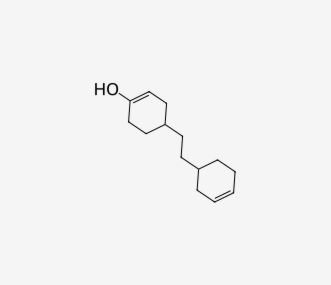 OC1=CCC(CCC2CC=CCC2)CC1